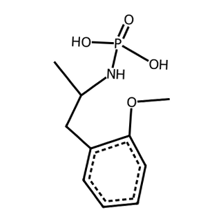 COc1ccccc1CC(C)NP(=O)(O)O